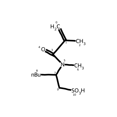 C=C(C)C(=O)N(C)C(CCCC)CS(=O)(=O)O